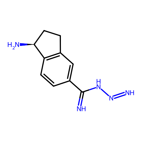 N=NNC(=N)c1ccc2c(c1)CC[C@@H]2N